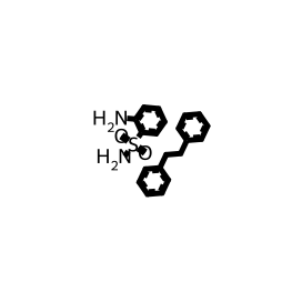 Nc1ccccc1S(N)(=O)=O.c1ccc(CCc2ccccc2)cc1